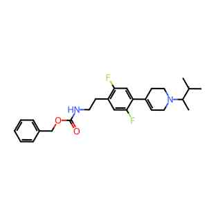 C[C](C)C(C)N1CC=C(c2cc(F)c(CCNC(=O)OCc3ccccc3)cc2F)CC1